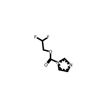 O=C(OCC(F)F)n1ccnc1